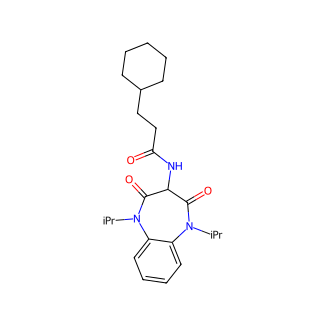 CC(C)N1C(=O)C(NC(=O)CCC2CCCCC2)C(=O)N(C(C)C)c2ccccc21